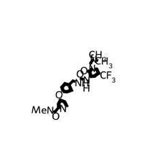 CNC(=O)c1cc(Oc2ccc(CNC(=O)Nc3cc(C(F)(F)F)cn(CN(C)C)c3=O)cc2)ccn1